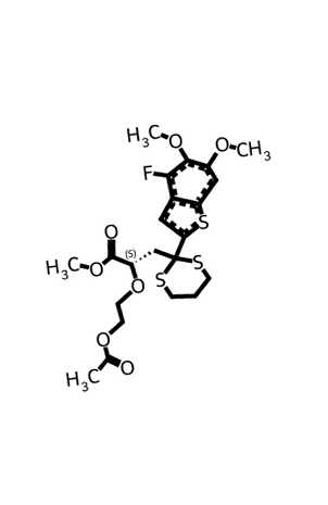 COC(=O)[C@H](CC1(c2cc3c(F)c(OC)c(OC)cc3s2)SCCCS1)OCCOC(C)=O